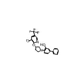 Oc1cc(-c2ccccc2)ccc1N1CCC(Oc2ncc(C(F)(F)F)cc2Cl)C1